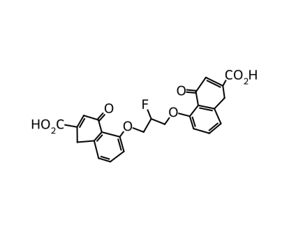 O=C(O)C1=CC(=O)c2c(cccc2OCC(F)COc2cccc3c2C(=O)C=C(C(=O)O)C3)C1